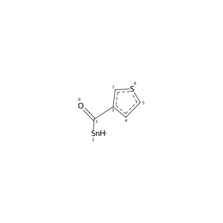 O=[C]([SnH])c1ccsc1